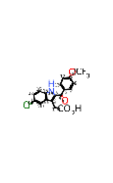 O=C(O)Cc1c(C(=O)c2ccc(OC(F)(F)F)cc2)[nH]c2ccc(Cl)cc12